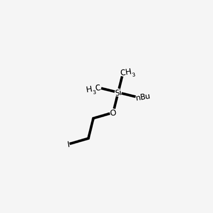 CCCC[Si](C)(C)OCCI